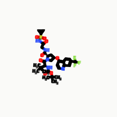 CC(C)(C)OC(=O)N[C@H](C(=O)N1C[C@H](Oc2ccnc3cc(C(F)(F)F)ccc23)C[C@H]1C(=O)NCC(=O)NS(=O)(=O)C1CC1)C(C)(C)C